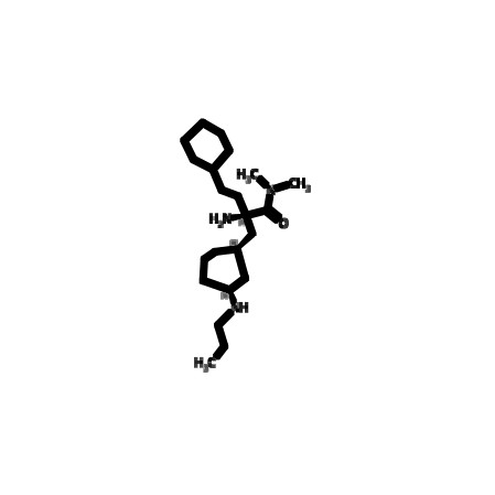 CCCN[C@H]1CCC[C@@H](C[C@](N)(CCC2CCCCC2)C(=O)N(C)C)C1